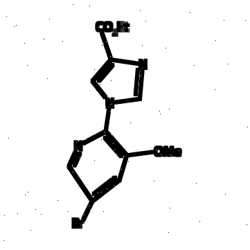 CCOC(=O)c1cn(-c2ncc(Br)cc2OC)cn1